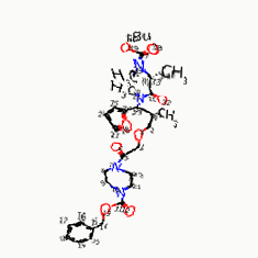 C[C@H](COCC(=O)N1CCN(C(=O)OCc2ccccc2)CC1)[C@@H](c1ccco1)N(C)C(=O)[C@@H](C)N(C)C(=O)OC(C)(C)C